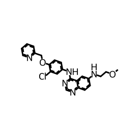 COCCNc1ccc2ncnc(Nc3ccc(OCc4ccccn4)c(Cl)c3)c2c1